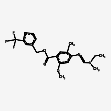 CCN(C)/C=N/c1cc(OC)c(C(=O)OCc2cccc(C(F)(F)F)c2)cc1C